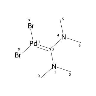 CN(C)[C](N(C)C)=[Pd]([Br])[Br]